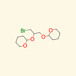 BrCC(COC1CCCCO1)OC1CCCCO1